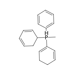 C[PH](C1=CCCC=C1)(c1ccccc1)C1C=CC=CC1